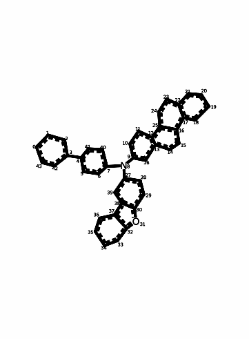 c1ccc(-c2ccc(N(c3ccc4c(ccc5c6ccccc6ccc45)c3)c3ccc4oc5ccccc5c4c3)cc2)cc1